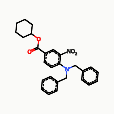 O=C(OC1CCCCC1)c1ccc(N(Cc2ccccc2)Cc2ccccc2)c([N+](=O)[O-])c1